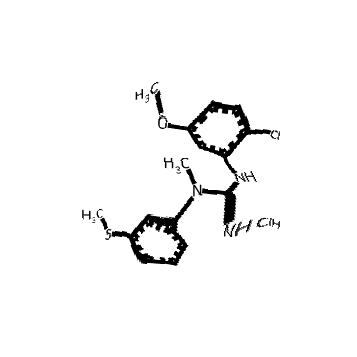 COc1ccc(Cl)c(NC(=N)N(C)c2cccc(SC)c2)c1.Cl